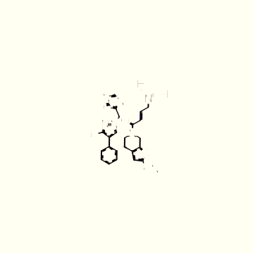 CN(C)C/C=C/C(=O)N1Cc2sc(C#N)cc2[C@H](c2ccccc2-c2cn(Cc3ncno3)nc2C(F)(F)F)C1